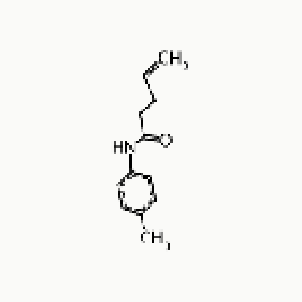 C=CCCC(=O)Nc1ccc(C)cc1